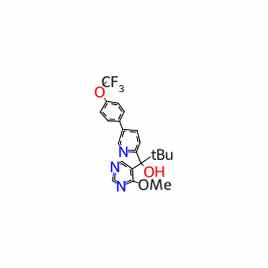 COc1ncncc1C(O)(c1ccc(-c2ccc(OC(F)(F)F)cc2)cn1)C(C)(C)C